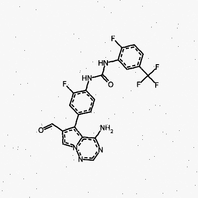 Nc1ncnn2cc(C=O)c(-c3ccc(NC(=O)Nc4cc(C(F)(F)F)ccc4F)c(F)c3)c12